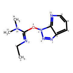 CCN=C(On1nnc2cccnc21)N(C)C